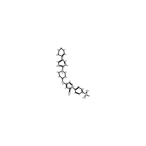 CS(=O)(=O)c1ccc(-n2ccc(OC3CCN(c4ncc(C5=CCCCC5)cn4)CC3)cc2=O)cc1